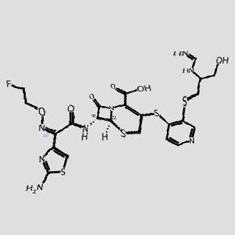 N=CNC(CO)CSc1cnccc1SC1=C(C(=O)O)N2C(=O)[C@@H](NC(=O)/C(=N\OCCF)c3csc(N)n3)[C@@H]2SC1